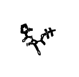 CC(O[Si](C)(C)C(C)(C)C)[C@H]1C(=O)N[C@@H]1SC(=O)c1cccn1C